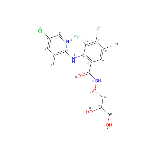 Cc1cc(Cl)cnc1Nc1c(C(=O)NOCC(O)CO)cc(F)c(F)c1F